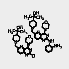 CC(C)(O)C1CCN(Cc2ccc3nc(Cl)nc(N4CCOCC4)c3n2)CC1.CC(C)(O)C1CCN(Cc2ccc3nc(Nc4ccccc4N)nc(N4CCOCC4)c3n2)CC1